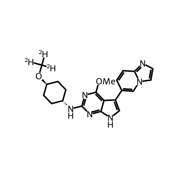 [2H]C([2H])([2H])O[C@H]1CC[C@H](Nc2nc(OC)c3c(-c4ccc5nccn5c4)c[nH]c3n2)CC1